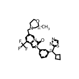 C[C@@H]1CN(Cc2cc(C(F)(F)F)c3cn(-c4cccc([C@@H](c5nncs5)C5CCC5)c4)c(=O)n3c2)CCO1